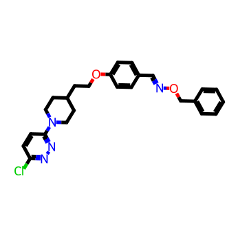 Clc1ccc(N2CCC(CCOc3ccc(C=NOCc4ccccc4)cc3)CC2)nn1